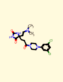 CN(C)CCC1(CCC(=O)N2CCN(c3cc(Cl)cc(Cl)c3)CC2)NC(=O)NC1=O